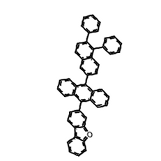 c1ccc(-c2ccc3cc(-c4c5ccccc5c(-c5ccc6c(c5)oc5ccccc56)c5ccccc45)ccc3c2-c2ccccc2)cc1